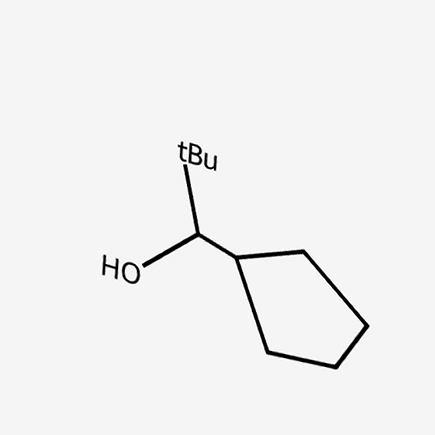 CC(C)(C)C(O)C1CCCC1